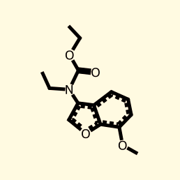 CCOC(=O)N(CC)c1coc2c(OC)cccc12